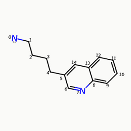 [N]CCCCc1cnc2ccccc2c1